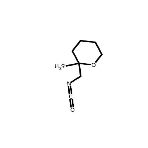 O=C=NCC1([SiH3])CCCCO1